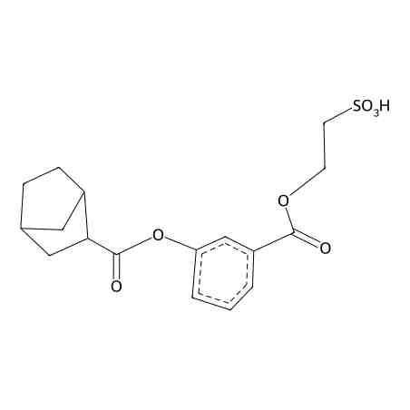 O=C(OCCS(=O)(=O)O)c1cccc(OC(=O)C2CC3CCC2C3)c1